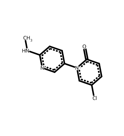 CNc1ccc(-n2cc(Cl)ccc2=O)cn1